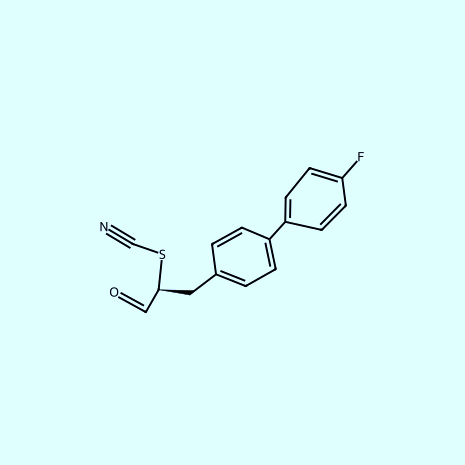 N#CS[C@H](C=O)Cc1ccc(-c2ccc(F)cc2)cc1